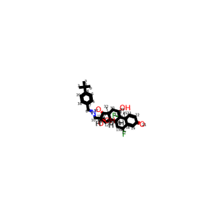 CC(C)(C)c1ccc(CN2C[C@@H]3C[C@H]4[C@@H]5C[C@H](F)C6=CC(=O)C=C[C@]6(C)[C@@]5(F)[C@@H](O)C[C@]4(C)[C@]3(C(=O)O)O2)cc1